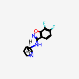 Fc1ccc2c(N[C@H]3CN4CCC3CC4)noc2c1F